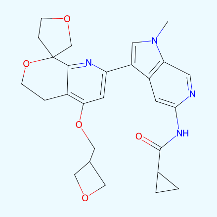 Cn1cc(-c2cc(OCC3COC3)c3c(n2)C2(CCOC2)OCC3)c2cc(NC(=O)C3CC3)ncc21